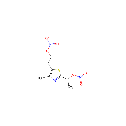 Cc1nc(C(C)O[N+](=O)[O-])sc1CCO[N+](=O)[O-]